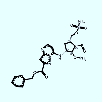 NS(=O)(=O)OC[C@H]1C[C@@H](Nc2ccnc3cc(C(=O)OCc4ccccc4)nn23)[C@H](OP)[C@@H]1P=O